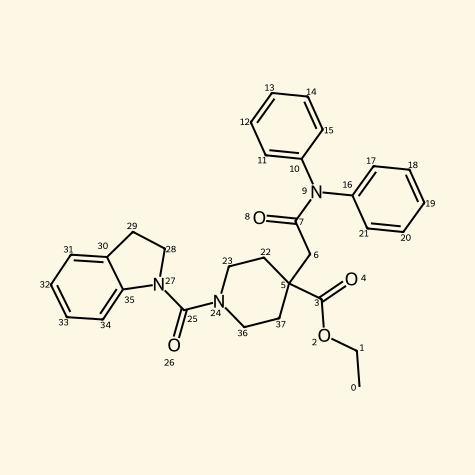 CCOC(=O)C1(CC(=O)N(c2ccccc2)c2ccccc2)CCN(C(=O)N2CCc3ccccc32)CC1